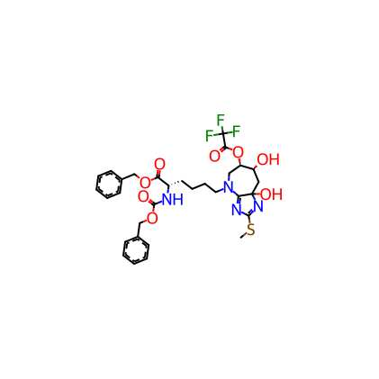 CSC1=NC2(O)C[C@H](O)[C@H](OC(=O)C(F)(F)F)CN(CCCC[C@H](NC(=O)OCc3ccccc3)C(=O)OCc3ccccc3)C2=N1